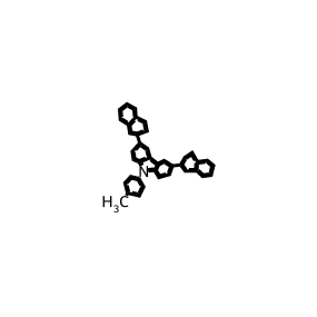 Cc1ccc(-n2c3ccc(-c4ccc5ccccc5c4)cc3c3cc(-c4ccc5ccccc5c4)ccc32)cc1